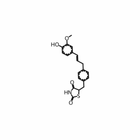 COc1cc(C=CCc2ccc(CC3SC(=O)NC3=O)cc2)ccc1O